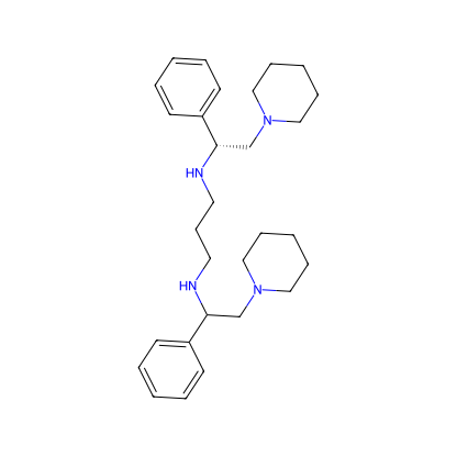 c1ccc(C(CN2CCCCC2)NCCCN[C@@H](CN2CCCCC2)c2ccccc2)cc1